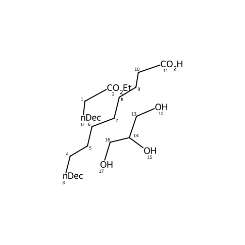 CCCCCCCCCCCC(=O)OCC.CCCCCCCCCCCCCCCCCC(=O)O.OCC(O)CO